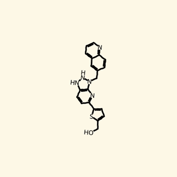 OCc1ccc(-c2ccc3c(n2)N(Cc2ccc4ncccc4c2)NN3)s1